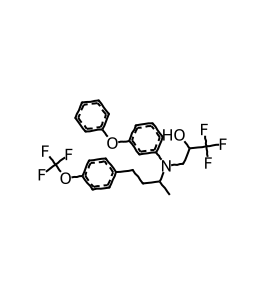 CC(CCc1ccc(OC(F)(F)F)cc1)N(CC(O)C(F)(F)F)c1cccc(Oc2ccccc2)c1